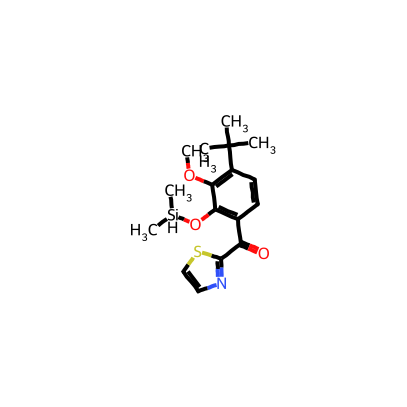 COc1c(C(C)(C)C)ccc(C(=O)c2nccs2)c1O[SiH](C)C